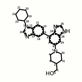 OCC1CCN(c2cc(-c3ccc4c(c3)ncn4C3CCCCC3)c3nc[nH]c3c2)CC1